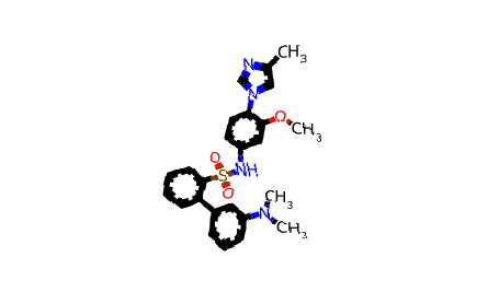 COc1cc(NS(=O)(=O)c2ccccc2-c2cccc(N(C)C)c2)ccc1-n1cnc(C)c1